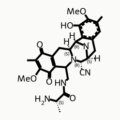 COC1=C(C)C(=O)C2=C(C1=O)C(CNC(=O)[C@H](C)N)N1[C@@H](C#N)[C@@H]3Cc4cc(C)c(OC)c(O)c4[C@H]([C@@H]1C2)N3C